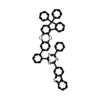 c1ccc(-c2nc(-c3ccc4c(c3)sc3ccccc34)nc(-c3ccccc3-c3ccc4c(c3)Oc3ccc5c(c3O4)-c3ccccc3C5(c3ccccc3)c3ccccc3)n2)cc1